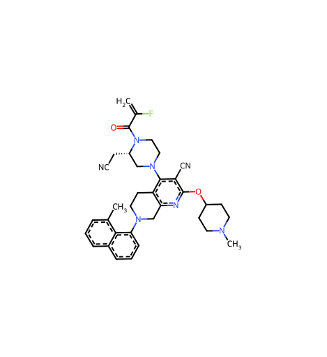 C=C(F)C(=O)N1CCN(c2c(C#N)c(OC3CCN(C)CC3)nc3c2CCN(c2cccc4cccc(C)c24)C3)C[C@@H]1CC#N